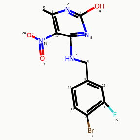 Cc1nc(O)nc(NCc2ccc(Br)c(F)c2)c1[N+](=O)[O-]